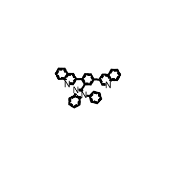 c1ccc(-n2c(-c3cc(-c4cnc5ccccc5c4)ccc3-c3cnc4ccccc4c3)nc3ccccc32)cc1